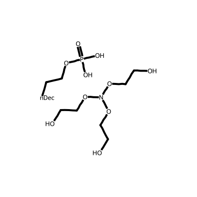 CCCCCCCCCCCCOP(=O)(O)O.OCCON(OCCO)OCCO